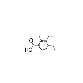 CCc1ccc(C(=O)O)c(C)c1CC